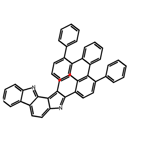 c1ccc(-c2ccccc2-c2ccccc2-c2c(-c3ccccc3)ccc3c4c(ccc23)=c2c(ccc3c2=Nc2ccccc2-3)N=4)cc1